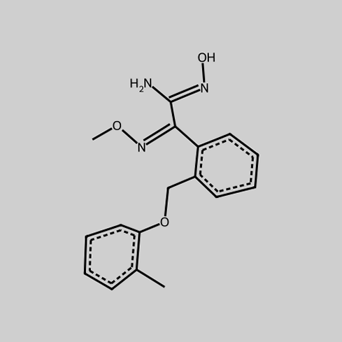 CON=C(C(N)=NO)c1ccccc1COc1ccccc1C